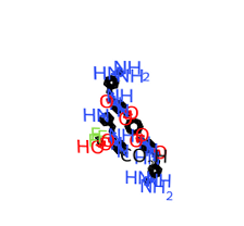 N=C(N)Nc1ccc(CNC(=O)N2CCN(C(=O)O[C@H]3CCC[C@@H](OC(=O)N4CCN(C(=O)NCc5ccc(NC(=N)N)cc5)CC4)CCC3)CC2)cc1.O=C(O)C(F)(F)F.O=C(O)N1CCN(C(=O)NCCC2CCNCC2)CC1